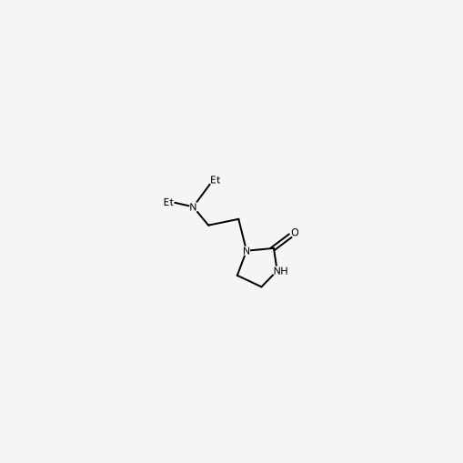 CCN(CC)CCN1CCNC1=O